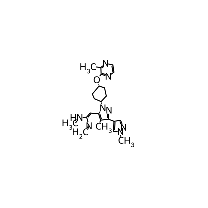 C=N/C(=C\c1c(C)c(-c2cnn(C)c2)nn1[C@H]1CC[C@@H](Oc2nccnc2C)CC1)NC